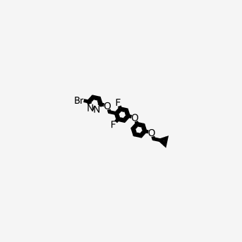 Fc1cc(Oc2cccc(OCC3CC3)c2)cc(F)c1COc1ccc(Br)nn1